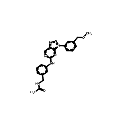 COCc1cccc(-n2nnc3cnc(Nc4cccc(CNC(C)=O)c4)nc32)c1